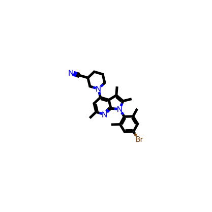 Cc1cc(N2CCCC(C#N)C2)c2c(C)c(C)n(-c3c(C)cc(Br)cc3C)c2n1